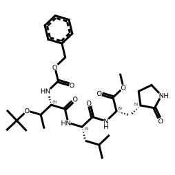 COC(=O)[C@H](C[C@@H]1CCNC1=O)NC(=O)[C@H](CC(C)C)NC(=O)[C@@H](NC(=O)OCc1ccccc1)C(C)OC(C)(C)C